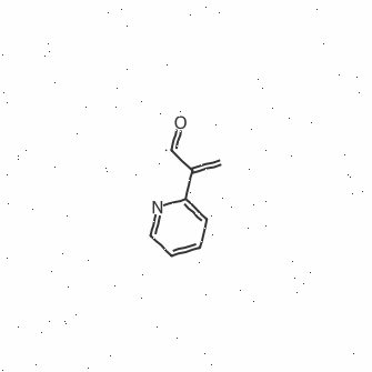 C=C([C]=O)c1ccccn1